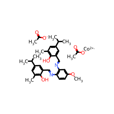 CC(=O)[O-].CC(=O)[O-].COc1ccc(N=Cc2cc(C(C)C)cc(C)c2O)c(N=Cc2cc(C(C)C)cc(C)c2O)c1.[Co+2]